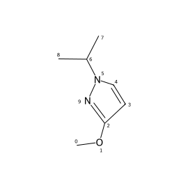 COc1ccn(C(C)C)n1